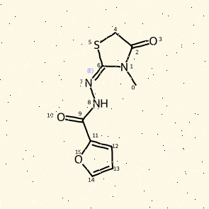 CN1C(=O)CS/C1=N/NC(=O)c1ccco1